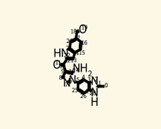 Cc1nc2cc(-n3ncc(C(=O)c4cc5ccc(C=O)cc5[nH]4)c3N)ccc2[nH]1